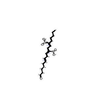 CCCCC/C(=C/C/C(=C/C/C=C/CCCC[C]=O)[N+](=O)[O-])[N+](=O)[O-]